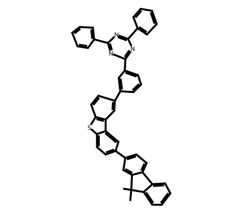 CC1(C)c2ccccc2-c2ccc(-c3ccc4sc5ccc(-c6cccc(-c7nc(-c8ccccc8)nc(-c8ccccc8)n7)c6)cc5c4c3)cc21